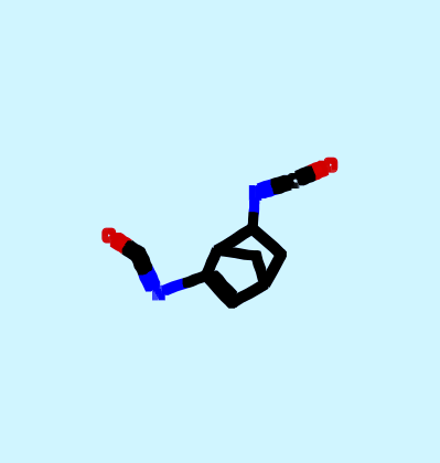 O=C=NC1=CC2CC(N=C=O)C1C2